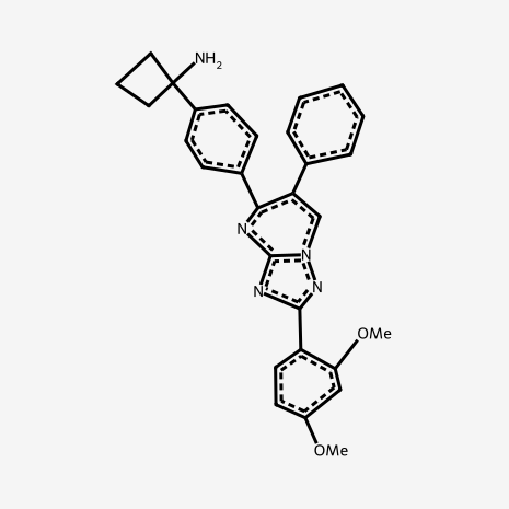 COc1ccc(-c2nc3nc(-c4ccc(C5(N)CCC5)cc4)c(-c4ccccc4)cn3n2)c(OC)c1